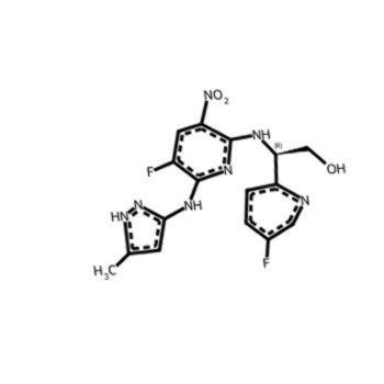 Cc1cc(Nc2nc(N[C@@H](CO)c3ccc(F)cn3)c([N+](=O)[O-])cc2F)n[nH]1